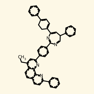 CCc1cc(-c2ccc(C3=NC(C4=CC=C(c5ccccc5)CC4)=CC(c4ccccc4)C=N3)cc2)nc2c1ccc1ccc(-c3ccccc3)nc12